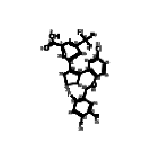 O=C(O)c1cc(C(F)(F)F)cc(C2=C(c3cc(Cl)ccc3OCc3cc(F)c(F)cc3F)CCC2)n1